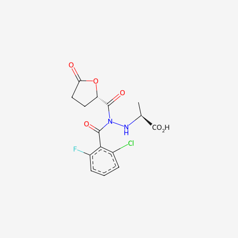 C[C@H](NN(C(=O)c1c(F)cccc1Cl)C(=O)[C@@H]1CCC(=O)O1)C(=O)O